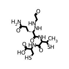 CC(S)C(NC(=O)[C@H](CCC(N)=O)NNCC=O)C(=O)NC(CS)C(=O)O